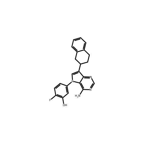 Nc1ncnc2c(C3CCc4ccccc4C3)cn(-c3ccc(F)c(O)c3)c12